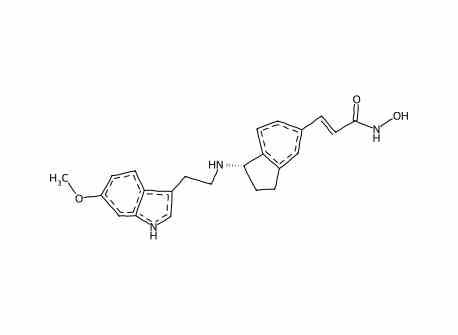 COc1ccc2c(CCN[C@H]3CCc4cc(C=CC(=O)NO)ccc43)c[nH]c2c1